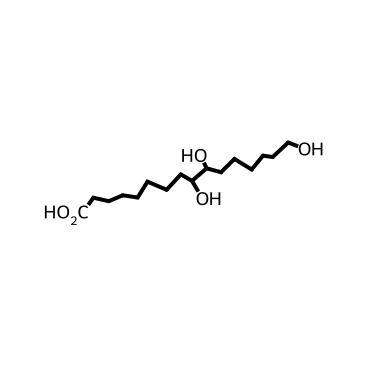 O=C(O)CCCCCCCC(O)C(O)CCCCCCO